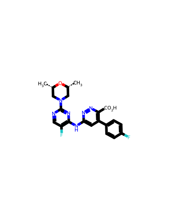 C[C@@H]1CN(c2ncc(F)c(Nc3cc(-c4ccc(F)cc4)c(C(=O)O)nn3)n2)C[C@H](C)O1